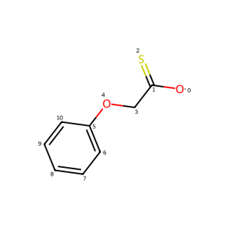 [O]C(=S)COc1ccccc1